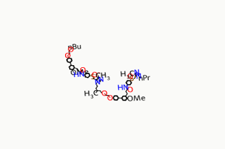 CCCCOCCOc1ccc(-c2ccc(OC)c(/C=C/C(=O)Nc3ccc([S@@+]([O-])Cc4c(C)ncn4CCCC(C)CCOCCOc4ccc(-c5ccc(OC)c(CCC(=O)Nc6ccc([S@+]([O-])Cc7c(C)ncn7CCC)cc6)c5)cc4)cc3)c2)cc1